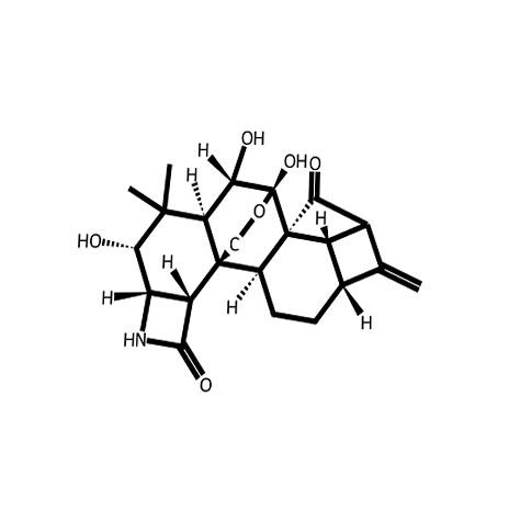 C=C1C2C(=O)[C@]34[C@H]2[C@H]1CC[C@H]3[C@@]12CO[C@]4(O)[C@@H](O)[C@@H]1C(C)(C)[C@@H](O)[C@H]1NC(=O)[C@H]12